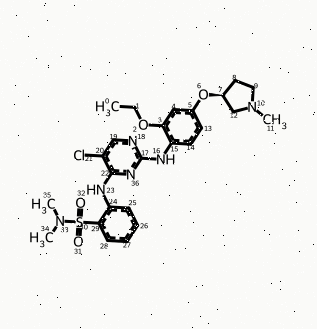 CCOc1cc(O[C@H]2CCN(C)C2)ccc1Nc1ncc(Cl)c(Nc2ccccc2S(=O)(=O)N(C)C)n1